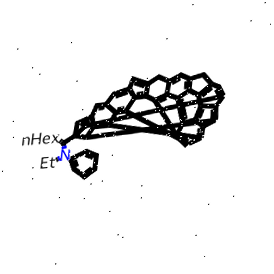 CCCCCCC(N(CC)c1ccccc1)C12C=c3cc4cc5cc6c7c5c5c4c4c3C1c1c3c(cc8c9c%10c(cc(c%11c%10c%10c(c1c4c5c%10c7%11)c39)C6)C8)C2